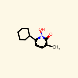 Cc1ccc(C2CCCCC2)n(O)c1=O